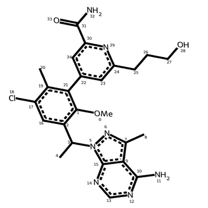 COc1c(C(C)n2nc(C)c3c(N)ncnc32)cc(Cl)c(C)c1-c1cc(CCCO)nc(C(N)=O)c1